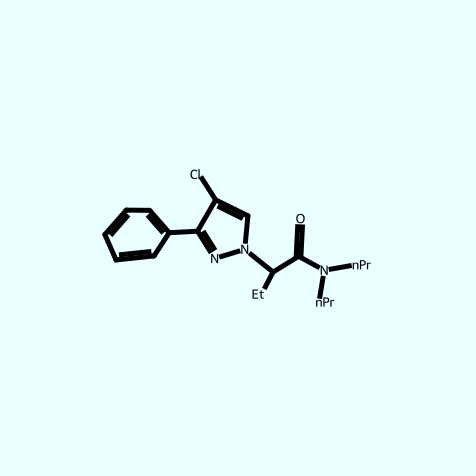 CCCN(CCC)C(=O)C(CC)n1cc(Cl)c(-c2ccccc2)n1